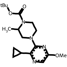 COc1cnc(C2CC2)c(N2CCN(C(=O)OC(C)(C)C)C(C)C2)n1